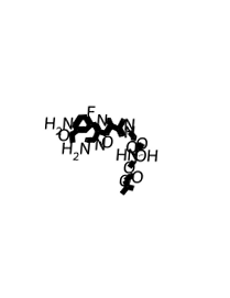 CC(=O)c1cc(-c2ncc(-c3cnn(COP(=O)(O)NCOC(=O)OC(C)C)c3)c3onc(CN)c23)c(F)cc1N